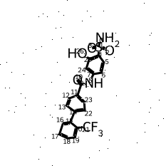 NS(=O)(=O)c1ccc(NC(=O)c2ccc(-c3ccccc3C(F)(F)F)cc2)cc1O